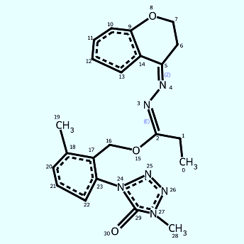 CC/C(=N\N=C1\CCOc2ccccc21)OCc1c(C)cccc1-n1nnn(C)c1=O